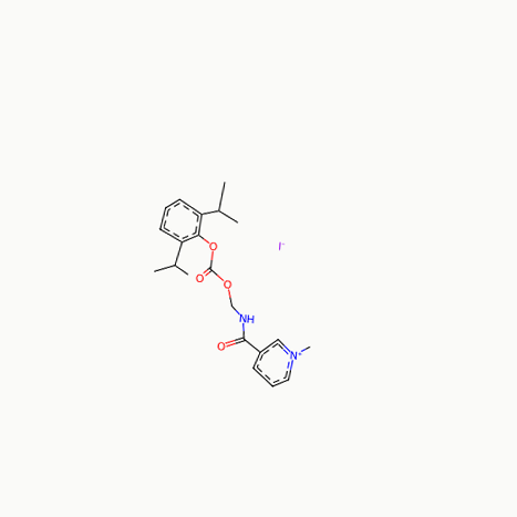 CC(C)c1cccc(C(C)C)c1OC(=O)OCNC(=O)c1ccc[n+](C)c1.[I-]